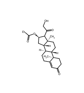 CCC(=O)O[C@@H]1C[C@H]2[C@@H]3CCC4=CC(=O)CC[C@]4(C)[C@H]3CC[C@]2(C)C1C(=O)CO